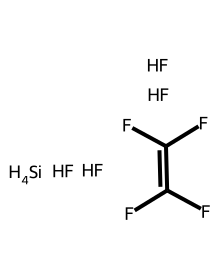 F.F.F.F.FC(F)=C(F)F.[SiH4]